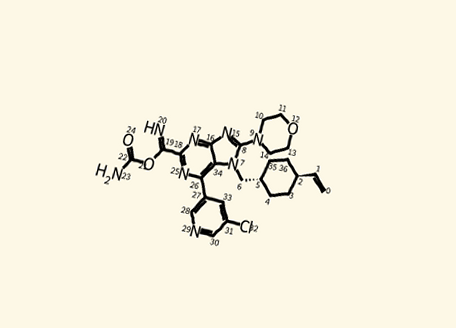 C=C[C@H]1CC[C@H](Cn2c(N3CCOCC3)nc3nc(C(=N)OC(N)=O)nc(-c4cncc(Cl)c4)c32)CC1